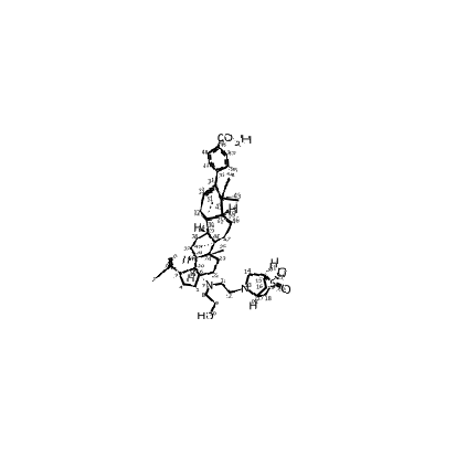 C=C(C)[C@@H]1CC[C@]2(N(CCO)CCN3C[C@@H]4C[C@H]3CS4(=O)=O)CC[C@]3(C)[C@H](CC[C@@H]4[C@@]5(C)CC=C(c6ccc(C(=O)O)cc6)C(C)(C)[C@@H]5CC[C@]43C)[C@@H]12